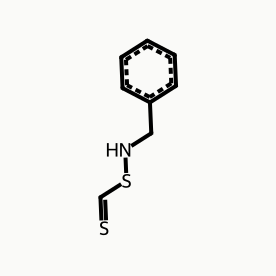 S=CSNCc1ccccc1